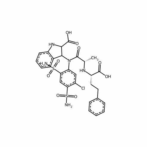 C[C@H](N[C@@H](CCc1ccccc1)C(=O)O)C(=O)N(c1cc(Cl)c(S(N)(=O)=O)cc1S(N)(=O)=O)C1c2ccccc2NC1C(=O)O